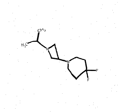 CC(C)N1CC(N2CCC(F)(F)CC2)C1